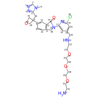 Cn1cnnc1CC1(c2ccc3c(c2)C(=O)N(c2cc(CNCCOCCOCCOCCN)cc(Cl)n2)C3)COC1